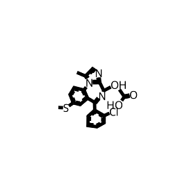 CC(=O)O.CSc1ccc2c(c1)C(c1ccccc1Cl)=NC(O)c1ncc(C)n1-2